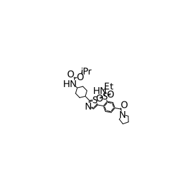 CCNS(=O)(=O)c1cc(C(=O)N2CCCC2)ccc1-c1cnc(C2CCC(NC(=O)OC(C)C)CC2)s1